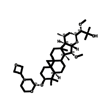 CO[C@@H]([C@H]1C[C@@H](C)[C@H]2[C@H](O1)[C@H](OC)[C@@]1(C)C3CC[C@H]4C(C)(C)C(O[C@H]5CN(C6COC6)CCO5)CCC45CC35CCC21C)C(C)(C)O